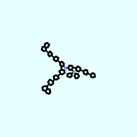 c1ccc(-c2ccc(-c3ccc4c(c3)[Si](c3ccccc3)(c3ccccc3)c3cc(-n5c6ccc(-c7ccc(-c8ccc(-c9cccc%10ccccc9%10)cc8)cc7)cc6c6cc(-c7ccc(-c8ccc(-c9cccc%10ccccc9%10)cc8)cc7)ccc65)ccc3-4)cc2)cc1